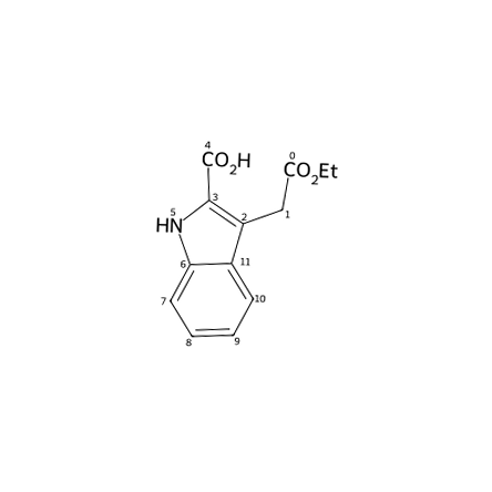 CCOC(=O)Cc1c(C(=O)O)[nH]c2ccccc12